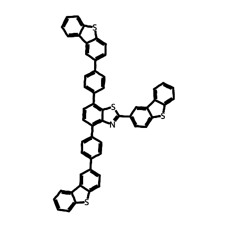 c1ccc2c(c1)sc1ccc(-c3ccc(-c4ccc(-c5ccc(-c6ccc7sc8ccccc8c7c6)cc5)c5sc(-c6ccc7sc8ccccc8c7c6)nc45)cc3)cc12